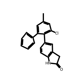 Cc1cc(Cl)c(-c2ccc3c(c2)CC(=O)N3)c(-c2ccccc2)c1